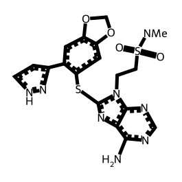 CNS(=O)(=O)CCn1c(Sc2cc3c(cc2-c2cc[nH]n2)OCO3)nc2c(N)ncnc21